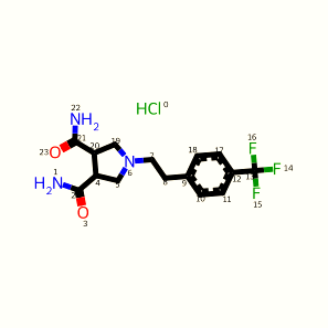 Cl.NC(=O)C1CN(CCc2ccc(C(F)(F)F)cc2)CC1C(N)=O